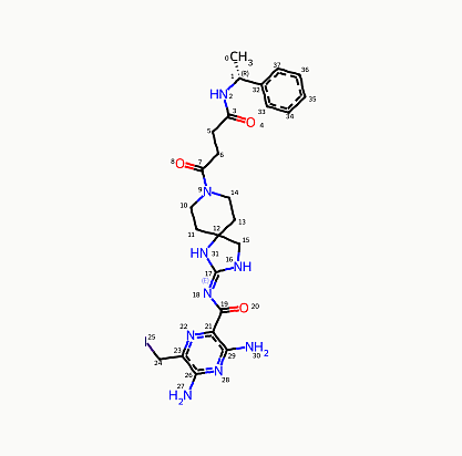 C[C@@H](NC(=O)CCC(=O)N1CCC2(CC1)CN/C(=N\C(=O)c1nc(CI)c(N)nc1N)N2)c1ccccc1